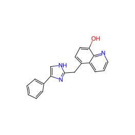 Oc1ccc(Cc2nc(-c3ccccc3)c[nH]2)c2cccnc12